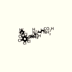 CC(=O)O.N=C(N)NCCCC(N)C(=O)O.Oc1c(Cl)c(Cl)c(Cl)c(Cl)c1Cl.[H+].c1ccsc1